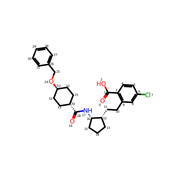 O=C(O)c1ccc(Cl)cc1CC[C@@H]1CCC[C@@H]1NC(=O)[C@H]1CC[C@H](OCc2ccccc2)CC1